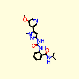 COc1cncc(-c2cc(NC(=O)Nc3ccccc3C(=O)NC(C)C)nn2C)c1